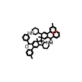 Cc1cccc(C2=CC(C3CCCNC3)C(C)(C(=O)C3(C)C=C(C(=O)c4ccccc4)C(c4cccc(C)c4)=CC3C3CCCNC3)C=C2C(=O)c2ccccc2)c1